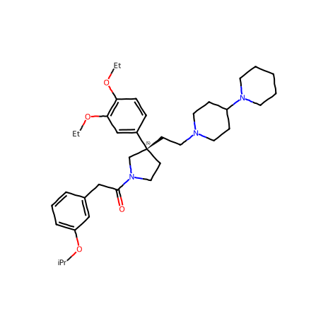 CCOc1ccc([C@]2(CCN3CCC(N4CCCCC4)CC3)CCN(C(=O)Cc3cccc(OC(C)C)c3)C2)cc1OCC